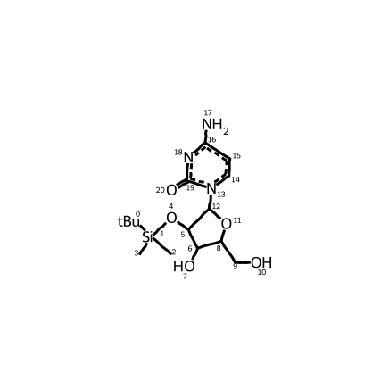 CC(C)(C)[Si](C)(C)OC1C(O)C(CO)OC1n1ccc(N)nc1=O